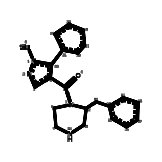 CC(C)(C)n1ncc(C(=O)N2CCNCC2Cc2ccccc2)c1-c1ccccc1